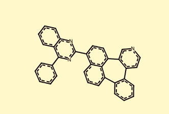 c1ccc(-c2nc(-c3ccc4c5c(cccc35)-c3ccccc3-c3ccncc3-4)nc3ccccc23)cc1